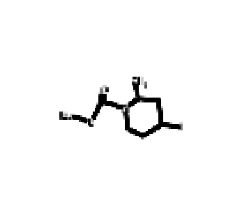 C[C@H]1CC(I)CCN1C(=O)OC(C)(C)C